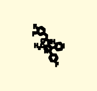 Cn1nc(-c2ccc(F)cc2)c(-c2ccncc2)c1NC(=O)Cc1ccc(F)c(F)c1